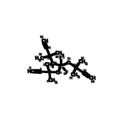 C#CC(C)(C)OP(F)(F)(OC(C)(C)C#C)OC(C)(C)C#C